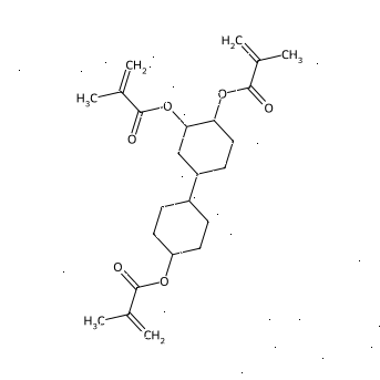 C=C(C)C(=O)OC1CCC(C2CCC(OC(=O)C(=C)C)C(OC(=O)C(=C)C)C2)CC1